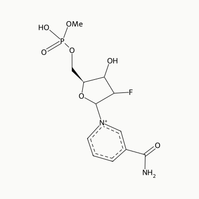 COP(=O)(O)OC[C@@H]1OC([n+]2cccc(C(N)=O)c2)C(F)C1O